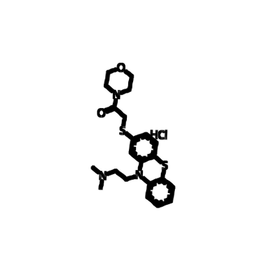 CN(C)CCN1c2ccccc2Sc2ccc(SCC(=O)N3CCOCC3)cc21.Cl